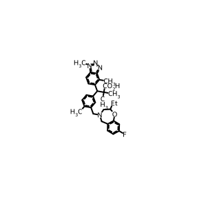 CCC1CN(Cc2cc(C(c3ccc4c(nnn4C)c3C)C(C)(C)C(=O)O)ccc2C)Cc2ccc(F)cc2O1